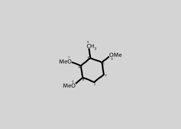 COC1CCC(OC)C(OC)C1C